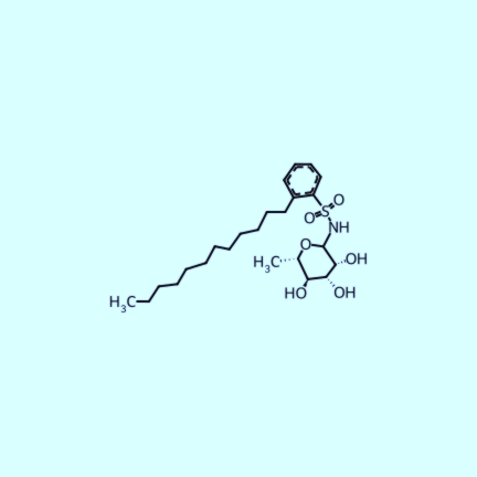 CCCCCCCCCCCCc1ccccc1S(=O)(=O)NC1O[C@@H](C)[C@H](O)[C@@H](O)[C@H]1O